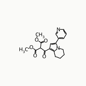 COC(=O)C(C(=O)OC)C(=O)c1cc(-c2cccnc2)n2c1CCCC2